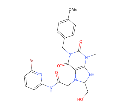 COc1ccc(Cn2c(=O)c3c(n(C)c2=O)NC(CO)N3CC(=O)Nc2cccc(Br)n2)cc1